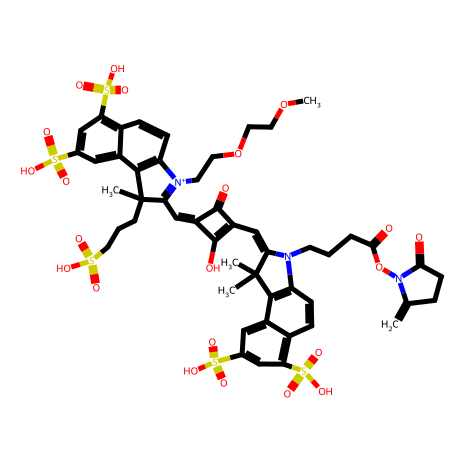 C=C1CCC(=O)N1OC(=O)CCCN1/C(=C/C2=C(O)C(=C/C3=[N+](CCOCCOC)c4ccc5c(S(=O)(=O)O)cc(S(=O)(=O)O)cc5c4C3(C)CCCS(=O)(=O)O)/C2=O)C(C)(C)c2c1ccc1c(S(=O)(=O)O)cc(S(=O)(=O)O)cc21